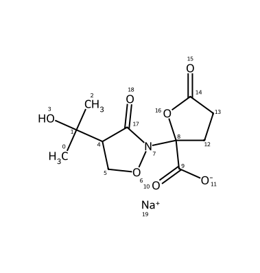 CC(C)(O)C1CON(C2(C(=O)[O-])CCC(=O)O2)C1=O.[Na+]